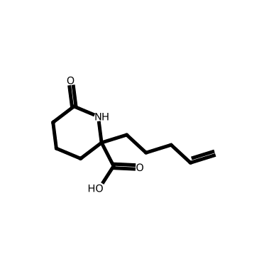 C=CCCCC1(C(=O)O)CCCC(=O)N1